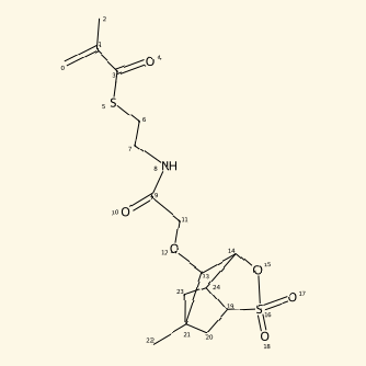 C=C(C)C(=O)SCCNC(=O)COC1C2OS(=O)(=O)C3CC1(C)CC23